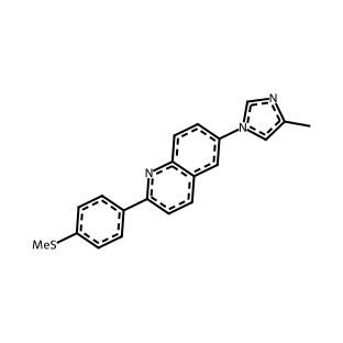 CSc1ccc(-c2ccc3cc(-n4cnc(C)c4)ccc3n2)cc1